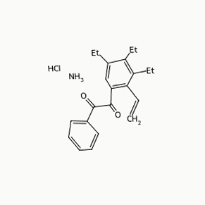 C=Cc1c(C(=O)C(=O)c2ccccc2)cc(CC)c(CC)c1CC.Cl.N